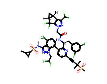 CC1CC1S(=O)(=O)Nc1nn(CC(F)F)c2c(-c3ccc(C#CC(C)(C)S(C)(=O)=O)nc3[C@H](Cc3cc(F)cc(F)c3)NC(=O)Cn3nc(C(F)F)c4c3C(F)(F)[C@@H]3C[C@H]43)ccc(Cl)c12